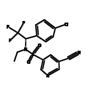 CCN(C(c1ccc(Cl)cc1)C(F)(F)F)S(=O)(=O)c1cncc(C#N)c1